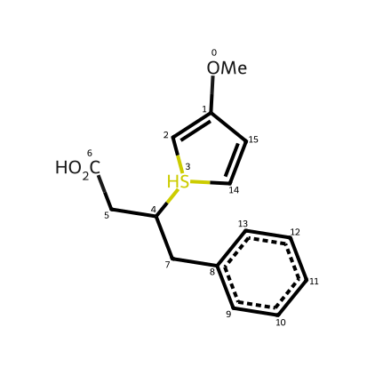 COC1=C[SH](C(CC(=O)O)Cc2ccccc2)C=C1